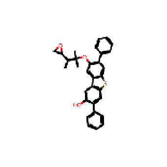 CC(C1CO1)C(C)(C)Oc1cc2c(cc1-c1ccccc1)sc1cc(-c3ccccc3)c(O)cc12